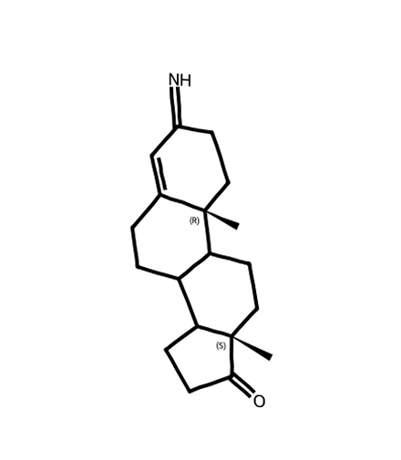 C[C@]12CCC(=N)C=C1CCC1C2CC[C@]2(C)C(=O)CCC12